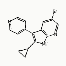 Brc1cnc2[nH]c(C3CC3)c(-c3ccncc3)c2c1